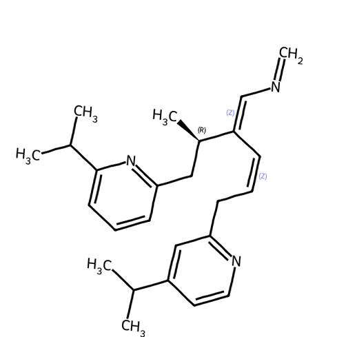 C=N/C=C(\C=C/Cc1cc(C(C)C)ccn1)[C@H](C)Cc1cccc(C(C)C)n1